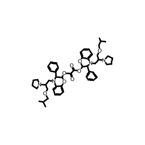 CC(C)COCC(CN1c2ccccc2OC(OC(=O)C(=O)OC2Oc3ccccc3N(CC(COCC(C)C)N3CCCC3)C2c2ccccc2)C1c1ccccc1)N1CCCC1